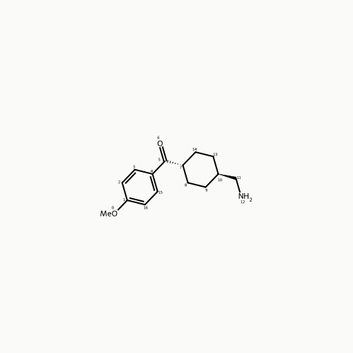 COc1ccc(C(=O)[C@H]2CC[C@H](CN)CC2)cc1